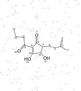 C=C(C)CCC1C(=O)C(C(=O)CCC)=C(O)C1O